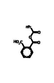 CCCC(=O)OC(=O)c1ccccc1C(=O)O